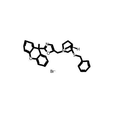 CC1(c2ncc(C[N+]34CCC(CC3)[C@H](SCc3ccccc3)C4)o2)c2ccccc2Oc2ccccc21.[Br-]